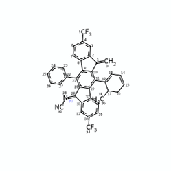 C=C1c2cc(C(F)(F)F)ccc2-c2c1c(C1=CC=CCC1C)c1c(c2-c2ccccc2)/C(=N/C#N)c2cc(C(F)(F)F)ccc2-1